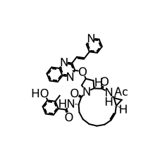 CC(=O)[C@@]12C[C@H]1/C=C\CCCCC[C@H](NC(=O)c1cccc(O)c1C)C(=O)N1CC(Oc3nc4ccccc4nc3/C=C/c3cccnc3)C[C@H]1C(=O)N2